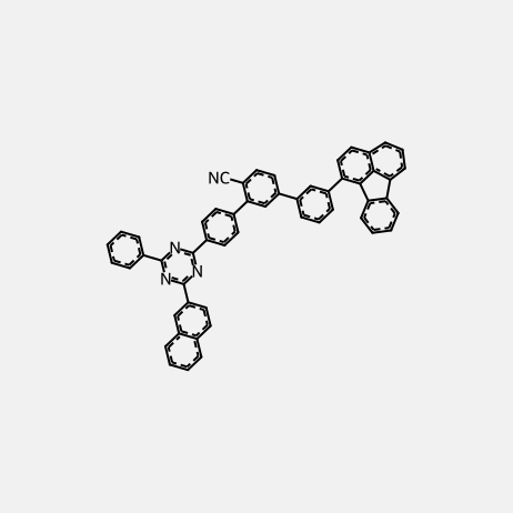 N#Cc1ccc(-c2cccc(-c3ccc4cccc5c4c3-c3ccccc3-5)c2)cc1-c1ccc(-c2nc(-c3ccccc3)nc(-c3ccc4ccccc4c3)n2)cc1